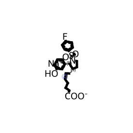 O=C([O-])CCC/C=C\C[C@H]1CCN(S(=O)(=O)c2ccc(F)cc2)[C@H]1c1cccc(O)c1.[Na+]